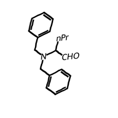 CCCC(C=O)N(Cc1ccccc1)Cc1ccccc1